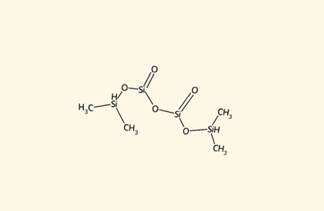 C[SiH](C)O[Si](=O)O[Si](=O)O[SiH](C)C